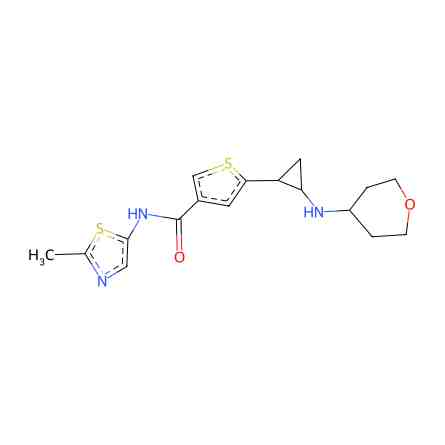 Cc1ncc(NC(=O)c2csc(C3CC3NC3CCOCC3)c2)s1